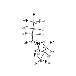 F/C(=N\OC(F)(C(F)(F)F)C(F)(F)F)C(F)(F)C(F)(F)C(F)(F)F